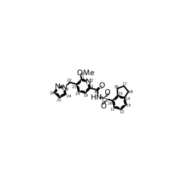 COc1nc(C(=O)NS(=O)(=O)c2cccc3c2CCC3)ccc1Cn1cccn1